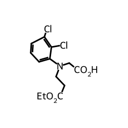 CCOC(=O)CCN(CC(=O)O)c1cccc(Cl)c1Cl